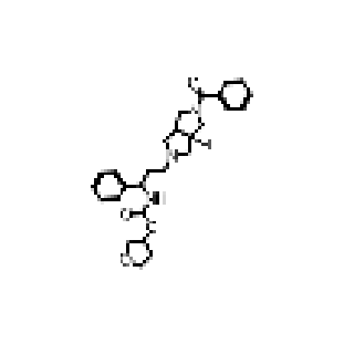 O=C(NC(CCN1CC2CN(C(=O)c3ccccc3)C[C@@H]2C1)c1ccccc1)OC1CCOC1